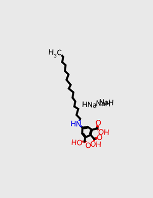 CCCCCCCCCCCCCCCCNc1cc(C(=O)O)c(C(=O)O)c(C(=O)O)c1.[NaH].[NaH].[NaH]